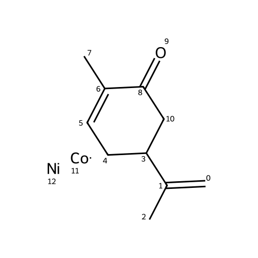 C=C(C)C1CC=C(C)C(=O)C1.[Co].[Ni]